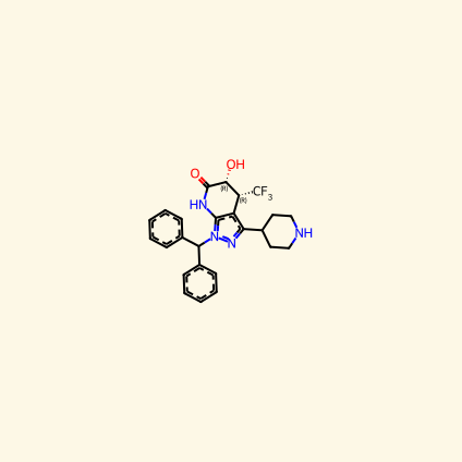 O=C1Nc2c(c(C3CCNCC3)nn2C(c2ccccc2)c2ccccc2)[C@@H](C(F)(F)F)[C@H]1O